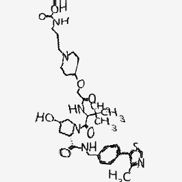 Cc1ncsc1-c1ccc(CNC(=O)[C@@H]2C[C@@H](O)CN2C(=O)C(NC(=O)COC2CCN(CCCNC(=O)O)CC2)C(C)(C)C)cc1